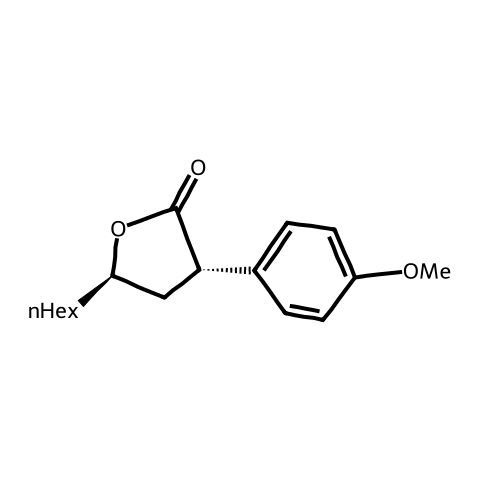 CCCCCC[C@@H]1C[C@@H](c2ccc(OC)cc2)C(=O)O1